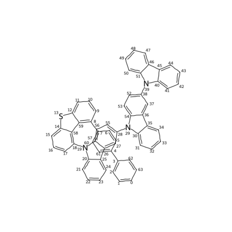 c1ccc(-c2ccc(-c3cccc4sc5cccc(-n6c7ccccc7c7cc(-n8c9ccccc9c9cc(-n%10c%11ccccc%11c%11ccccc%11%10)ccc98)ccc76)c5c34)cc2)cc1